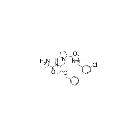 CC(N)C(=O)NC(CN1CCCC1C1=N[C@](C)(Cc2cccc(Cl)c2)CO1)C(C)OCc1ccccc1